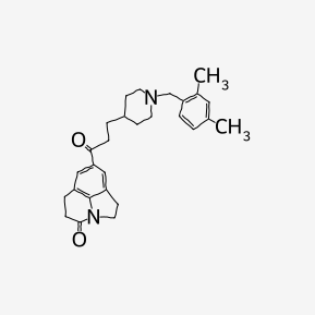 Cc1ccc(CN2CCC(CCC(=O)c3cc4c5c(c3)CCN5C(=O)CC4)CC2)c(C)c1